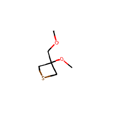 COCC1(OC)CSC1